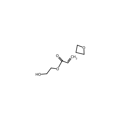 C1COC1.C=CC(=O)OCCO